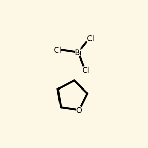 C1CCOC1.[Cl][Bi]([Cl])[Cl]